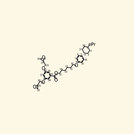 CCC[C@H]1CC[C@H](c2ccc(OCCCCCCOC(=O)c3cc(OCC4CO4)cc(OCC4CO4)c3)cc2)CC1